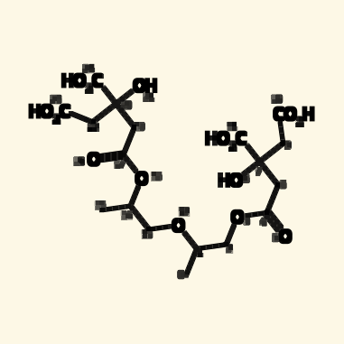 CC(COC(=O)CC(O)(CC(=O)O)C(=O)O)OCC(C)OC(=O)CC(O)(CC(=O)O)C(=O)O